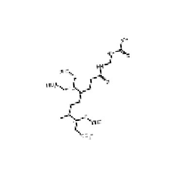 CCCC(=O)NCNC(=O)CCN(CCN(C)[C@H](CC(=O)O)OC=O)[C@H](CC(=O)O)OC=O